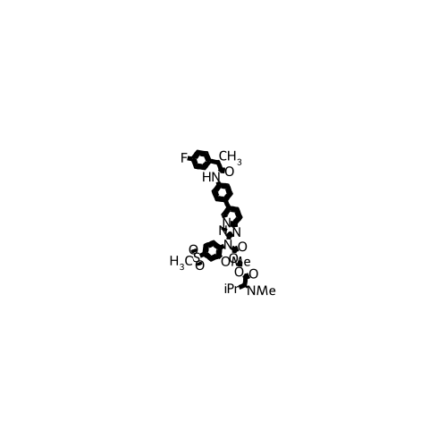 CN[C@H](C(=O)OCOC(=O)N(c1nc2ccc(-c3ccc(NC(=O)[C@H](C)c4ccc(F)cc4)cc3)cn2n1)c1ccc(S(C)(=O)=O)cc1OC)C(C)C